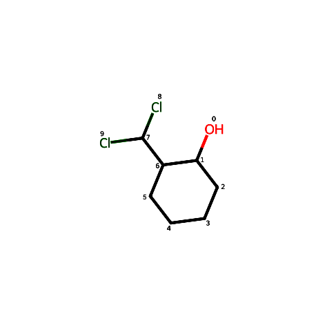 OC1CCCCC1C(Cl)Cl